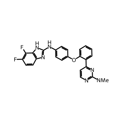 CNc1nccc(-c2ccccc2Oc2ccc(Nc3nc4ccc(F)c(F)c4[nH]3)cc2)n1